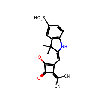 CC1(C)C(=CC2=C(O)C(=O)C2=C(C#N)C#N)Nc2ccc(S(=O)(=O)O)cc21